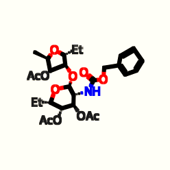 CC[C@@H]1O[C@H](O[C@H]2[C@@H](OC(C)=O)[C@@H](C)O[C@@H]2CC)[C@H](NC(=O)OCc2ccccc2)[C@@H](OC(C)=O)[C@@H]1OC(C)=O